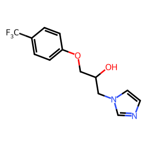 OC(COc1ccc(C(F)(F)F)cc1)Cn1ccnc1